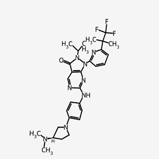 CC(C)n1c(=O)c2cnc(Nc3ccc(N4CC[C@@H](N(C)C)C4)cc3)nc2n1-c1cccc(C(C)(C)C(F)(F)F)n1